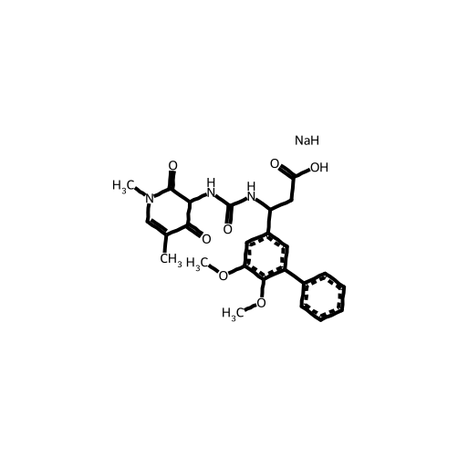 COc1cc(C(CC(=O)O)NC(=O)NC2C(=O)C(C)=CN(C)C2=O)cc(-c2ccccc2)c1OC.[NaH]